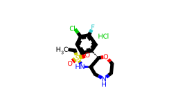 CCS(=O)(=O)N[C@@H]1CNCCO[C@H]1c1ccc(Cl)c(F)c1.Cl